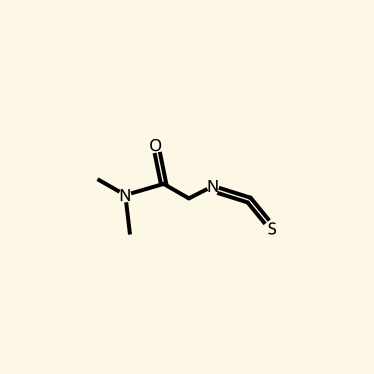 CN(C)C(=O)CN=C=S